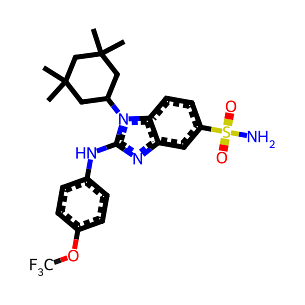 CC1(C)CC(n2c(Nc3ccc(OC(F)(F)F)cc3)nc3cc(S(N)(=O)=O)ccc32)CC(C)(C)C1